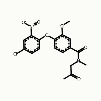 COc1cc(C(=O)N(C)CC(C)=O)ccc1Oc1ccc(Cl)cc1[N+](=O)[O-]